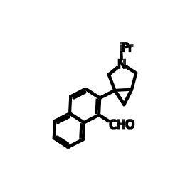 CC(C)N1CC2CC2(c2ccc3ccccc3c2C=O)C1